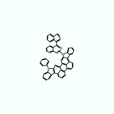 c1ccc(-n2c3ccccc3c3c4cccc5c6cccc7c6c(cc6c7c7ccccc7n6-c6nc(-c7cccc8ccccc78)c7ccccc7n6)c(cc32)c54)cc1